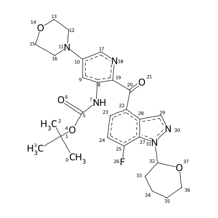 CC(C)(C)OC(=O)Nc1cc(N2CCOCC2)cnc1C(=O)c1ccc(F)c2c1cnn2C1CCCCO1